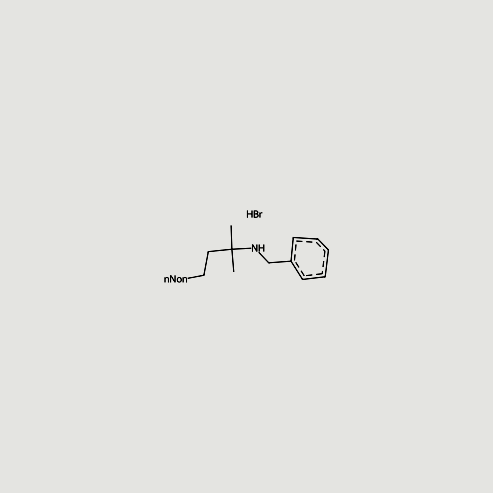 Br.CCCCCCCCCCCC(C)(C)NCc1ccccc1